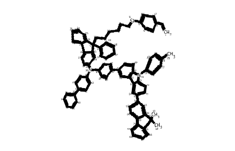 C=Cc1ccc(OCCCCCCC2(c3ccccc3)c3ccccc3-c3ccc(N(c4ccc(-c5ccccc5)cc4)c4ccc(-c5ccc6c(c5)c5cc(-c7ccc8c(c7)C(C)(C)c7ccccc7-8)ccc5n6-c5ccc(C)cc5)cc4)cc32)cc1